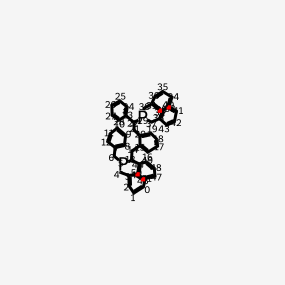 c1ccc(CP(Cc2ccccc2)C(Cc2ccccc2CC(c2ccccc2)P(Cc2ccccc2)Cc2ccccc2)c2ccccc2)cc1